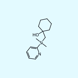 C[Si](C)(CC1(O)CCCCC1)c1ccccn1